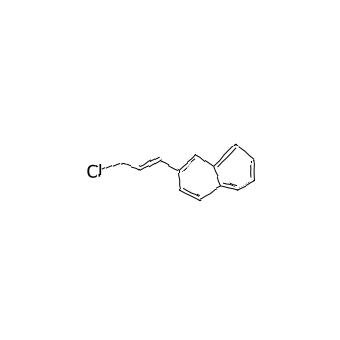 ClC/C=C/c1ccc2ccccc2c1